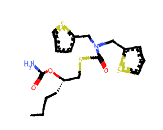 CCCC[C@@H](CSC(=O)N(Cc1cccs1)Cc1cccs1)OC(N)=O